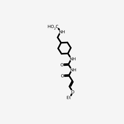 CCOC=CC(=O)NC(=O)NC1CCC(CNC(=O)O)CC1